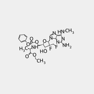 CCOC(=O)[C@@H](C)N[P@](=O)(OC[C@H]1O[C@@H](n2cnc3c(NC)nc(N)nc32)[C@@](F)(CF)[C@@H]1O)Oc1ccccc1